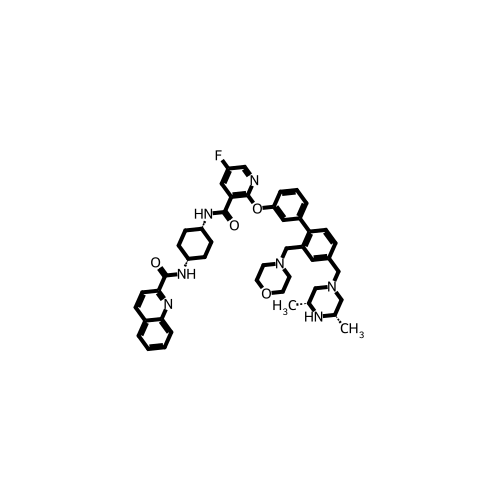 C[C@@H]1CN(Cc2ccc(-c3cccc(Oc4ncc(F)cc4C(=O)N[C@H]4CC[C@@H](NC(=O)c5ccc6ccccc6n5)CC4)c3)c(CN3CCOCC3)c2)C[C@H](C)N1